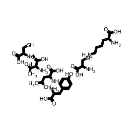 CC(C)CC(N)C(=O)O.CC(O)C(N)C(=O)O.NC(CS)C(=O)O.NC(CS)C(=O)O.NC(Cc1ccc(O)cc1)C(=O)O.NCCCCC(N)C(=O)O